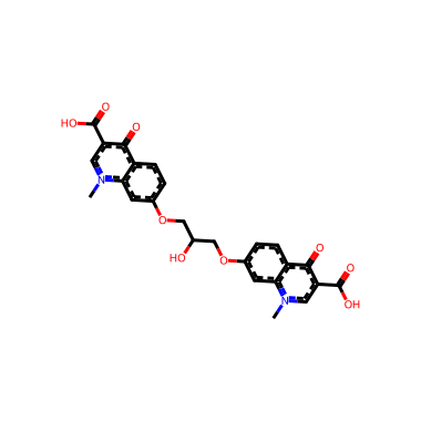 Cn1cc(C(=O)O)c(=O)c2ccc(OCC(O)COc3ccc4c(=O)c(C(=O)O)cn(C)c4c3)cc21